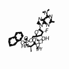 Cc1nc(N(C)C)c2ncn([C@@H]3O[C@](CCl)(COP(=O)(N[C@H](C)C(=O)OC(C)C)Oc4cccc5ccccc45)[C@@H](O)[C@H]3F)c2n1